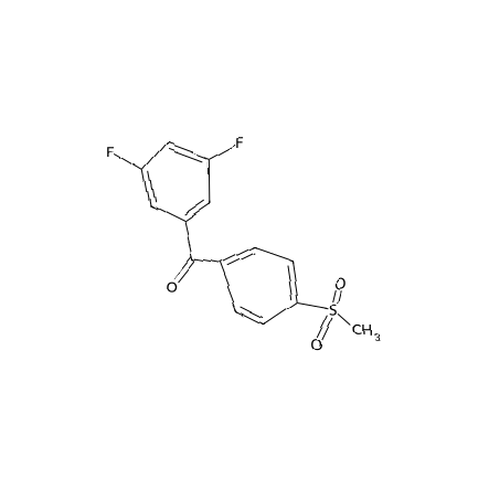 CS(=O)(=O)c1ccc(C(=O)c2cc(F)cc(F)c2)cc1